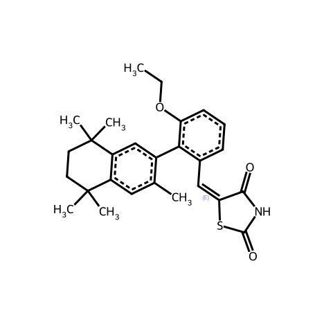 CCOc1cccc(/C=C2/SC(=O)NC2=O)c1-c1cc2c(cc1C)C(C)(C)CCC2(C)C